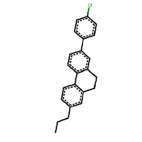 CCCc1ccc2c(c1)CCc1cc(-c3ccc(Cl)cc3)ccc1-2